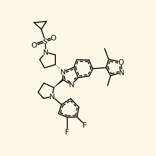 Cc1noc(C)c1-c1ccc2c(c1)nc([C@@H]1CCCN1c1ccc(F)c(F)c1)n2[C@@H]1CCN(S(=O)(=O)C2CC2)C1